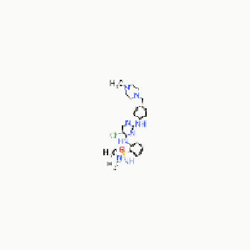 CN1CCN(Cc2ccc(Nc3ncc(Cl)c(Nc4ccccc4S(=N)(=O)N(C)C)n3)cc2)CC1